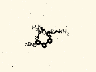 CCCCOc1cc(OCCCN)cc(-c2cccc(-c3cccc(-c4cc(OCCCN)cc(OCCCN)c4)c3)c2)c1